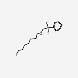 FC(F)(COCCCCCCCI)c1ccccc1